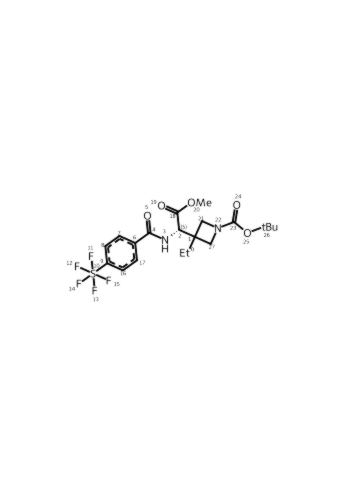 CCC1([C@H](NC(=O)c2ccc(S(F)(F)(F)(F)F)cc2)C(=O)OC)CN(C(=O)OC(C)(C)C)C1